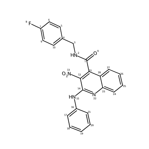 O=C(NCc1ccc(F)cc1)c1c([N+](=O)[O-])c(Nc2ccccc2)nc2ccccc12